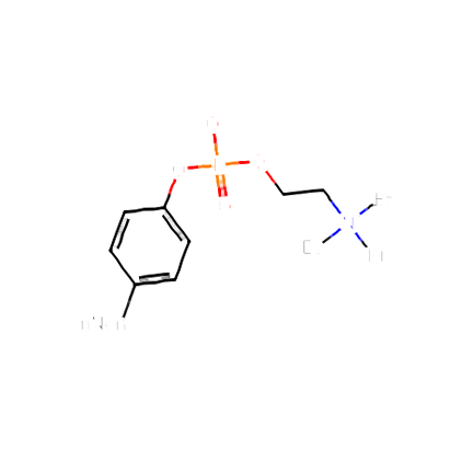 CCCCCCCCCc1ccc(OP(=O)([O-])OCC[N+](CC)(CC)CC)cc1